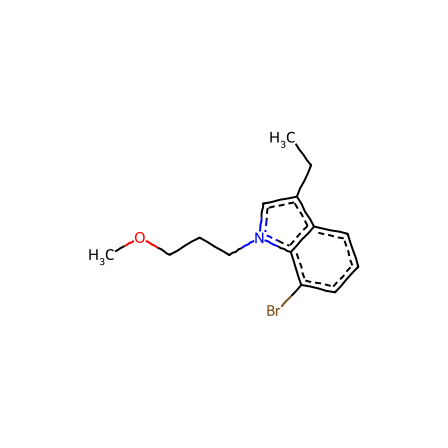 CCc1cn(CCCOC)c2c(Br)cccc12